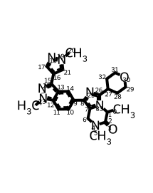 CC1C(=O)N(C)Cc2c(-c3ccc4c(c3)c(-c3cnn(C)c3)nn4C)nc(C3CCOCC3)n21